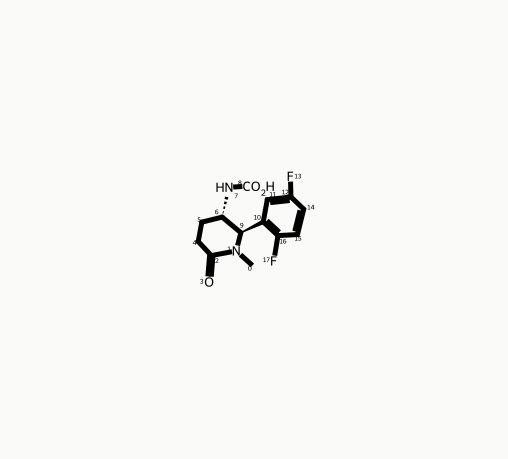 CN1C(=O)CC[C@H](NC(=O)O)[C@H]1c1cc(F)ccc1F